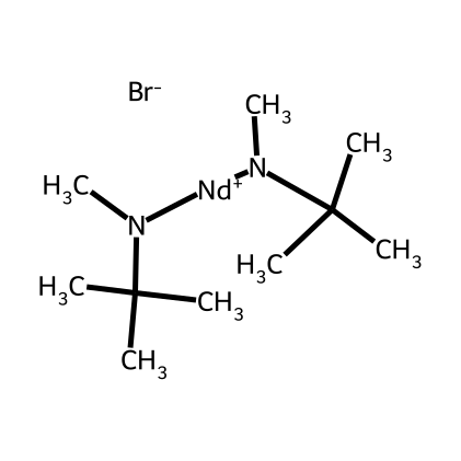 C[N]([Nd+][N](C)C(C)(C)C)C(C)(C)C.[Br-]